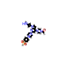 CN[C@H]1C[C@H](n2ccc3c(N4CCN(C(C)=O)CC4)cc(N4CCN(c5ccc(S(C)(=O)=O)cc5)CC4)nc32)C1